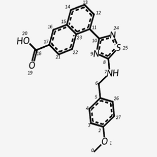 COc1ccc(CNc2nc(-c3cccc4cc(C(=O)O)ccc34)ns2)cc1